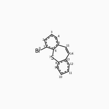 Brc1cccc2c1Sc1ccccc1C=C2